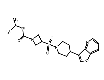 CC(NC(=O)N1CC(S(=O)(=O)N2CCC(c3coc4cccnc34)CC2)C1)C(F)(F)F